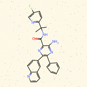 CC(C)(NC(=O)c1nc(-c2ccc3ncccc3c2)c(-c2ccccc2)nc1N)c1ccc(F)cn1